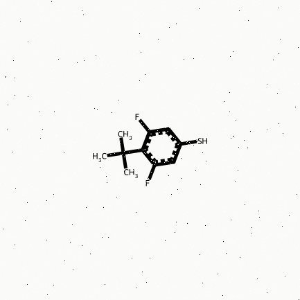 CC(C)(C)c1c(F)cc(S)cc1F